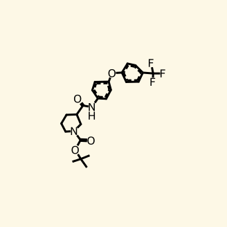 CC(C)(C)OC(=O)N1CCCC(C(=O)Nc2ccc(Oc3ccc(C(F)(F)F)cc3)cc2)C1